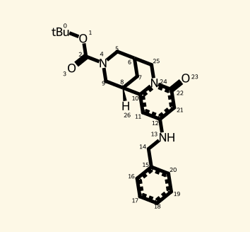 CC(C)(C)OC(=O)N1CC2C[C@@H](C1)c1cc(NCc3ccccc3)cc(=O)n1C2